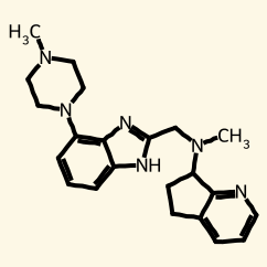 CN1CCN(c2cccc3[nH]c(CN(C)C4CCc5cccnc54)nc23)CC1